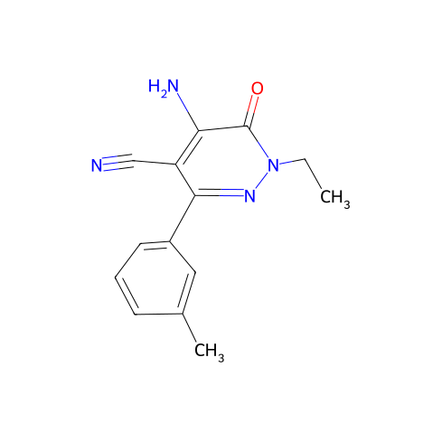 CCn1nc(-c2cccc(C)c2)c(C#N)c(N)c1=O